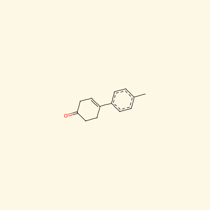 Cc1ccc(C2=CCC(=O)CC2)cc1